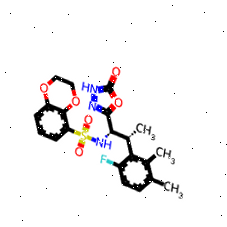 Cc1ccc(F)c([C@@H](C)[C@H](NS(=O)(=O)c2cccc3c2OCCO3)c2n[nH]c(=O)o2)c1C